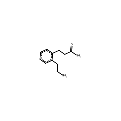 NCCc1ccccc1CCC(N)=O